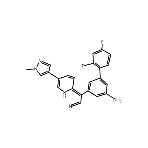 Cn1cc(C2=CN/C(=C(\C=N)c3cc(N)cc(-c4ccc(F)cc4F)c3)C=C2)cn1